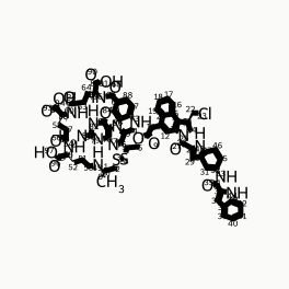 C[C@@H](CSSCCOC(=O)Cc1cc2c(c3ccccc13)[C@@H](CCl)CN2C(=O)c1cc2cc(NC(=O)c3cc4ccccc4[nH]3)ccc2[nH]1)NCCC[C@@H](NC(=O)CC[C@@H](NC(=O)CC[C@@H](NC(=O)c1ccc(NCc2cnc3nc(N)[nH]c(=O)c3n2)cc1)C(=O)O)C(=O)O)C(=O)O